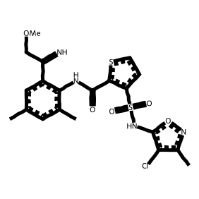 COCC(=N)c1cc(C)cc(C)c1NC(=O)c1sccc1S(=O)(=O)Nc1onc(C)c1Cl